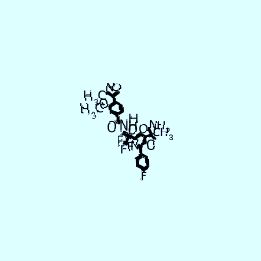 COc1cc(C(=O)NC[C@](O)(c2cc3c(c(-c4ccc(F)cc4)n2)OC[C@]3(C)C(N)=O)C(F)(F)F)ccc1-c1conc1C